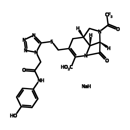 O=C(Cn1nnnc1SCC1=C(C(=O)O)N2C(=O)[C@@H]3[C@H]2[C@H](C1)CN3C(=O)C(F)(F)F)Nc1ccc(O)cc1.[NaH]